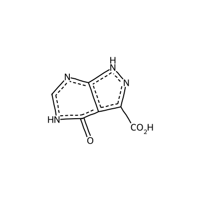 O=C(O)c1n[nH]c2nc[nH]c(=O)c12